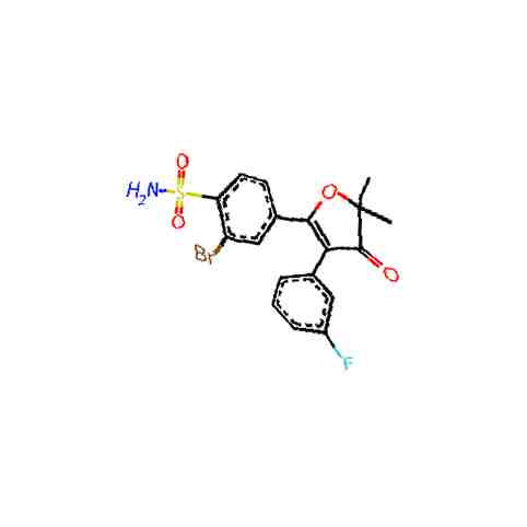 CC1(C)OC(c2ccc(S(N)(=O)=O)c(Br)c2)=C(c2cccc(F)c2)C1=O